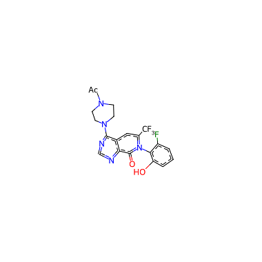 CC(=O)N1CCN(c2ncnc3c(=O)n(-c4c(O)cccc4F)c(C(F)(F)F)cc23)CC1